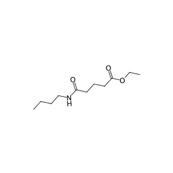 CCCCNC(=O)CCCC(=O)OCC